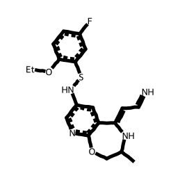 CCOc1ccc(F)cc1SNc1cnc2c(c1)/C(=C/C=N)NC(C)CO2